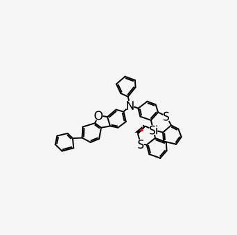 c1ccc(-c2ccc3c(c2)oc2cc(N(c4ccccc4)c4ccc5c(c4)[Si]4(c6ccccc6Sc6ccccc64)c4ccccc4S5)ccc23)cc1